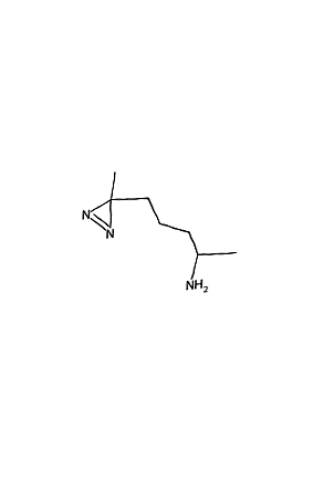 CC(N)CCCC1(C)N=N1